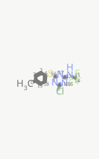 Cc1ccc(Sc2nc(Cl)nc(NC(F)(F)F)n2)cc1